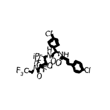 CC(C)[C@H](NC(=O)C(NC(=O)/C=C/c1ccc(Cl)cc1)c1ccc(Cl)cc1)C(=O)C(F)(F)C(=O)NCC(F)(F)F